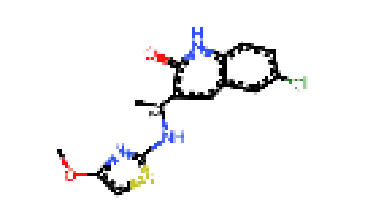 COc1csc(N[C@@H](C)c2cc3cc(Cl)ccc3[nH]c2=O)n1